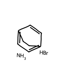 Br.N.c1cc2ccc1CC2